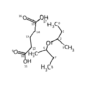 CCC(C)OC(C)CC.O=C(O)CCCC(=O)O